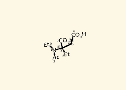 CCN(C(C)=O)[C@@](CC)(CC(=O)O)C(=O)O